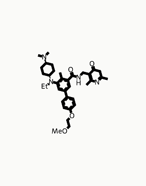 CCN(c1cc(-c2ccc(OCCOC)cc2)cc(C(=O)NCC2=C(C)N=C(C)CC2=O)c1C)[C@H]1CC[C@H](N(C)C)CC1